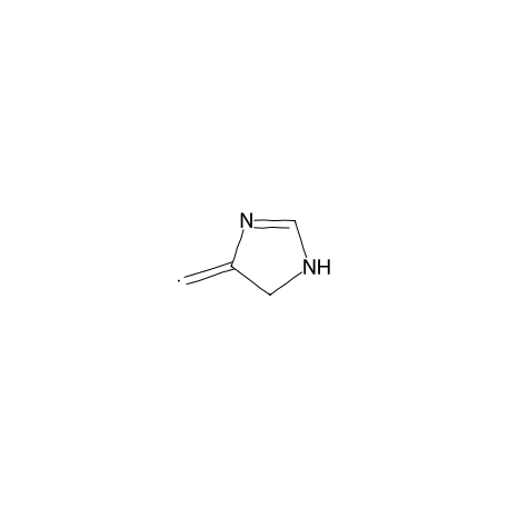 [CH]=C1CNC=N1